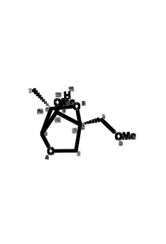 COC[C@@]12COC([C@H](C)O1)[C@@H]2OC